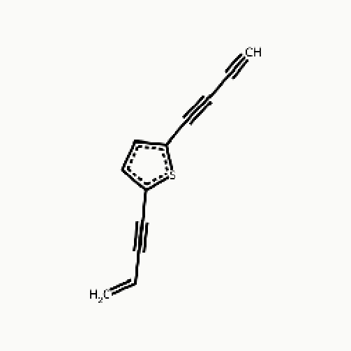 C#CC#Cc1ccc(C#CC=C)s1